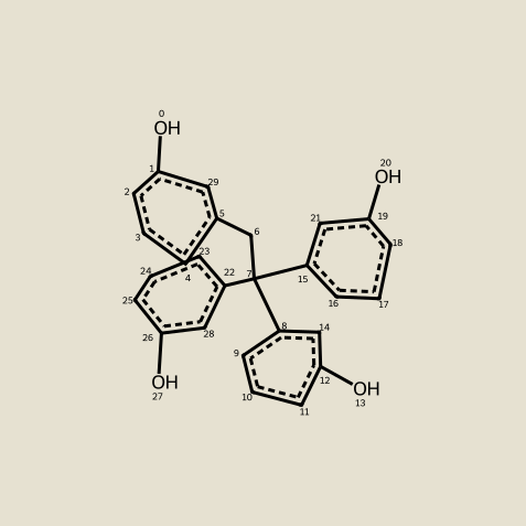 Oc1cccc(CC(c2cccc(O)c2)(c2cccc(O)c2)c2cccc(O)c2)c1